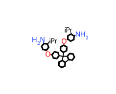 CC(C)c1cc(Oc2ccc(C3(c4ccc(Oc5ccc(N)c(C(C)C)c5)cc4)c4ccccc4-c4ccccc43)cc2)ccc1N